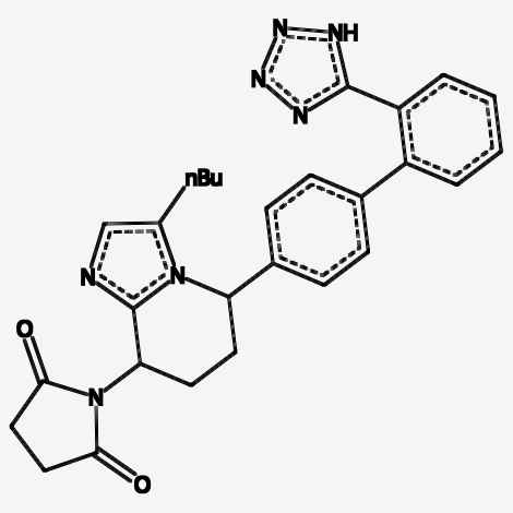 CCCCc1cnc2n1C(c1ccc(-c3ccccc3-c3nnn[nH]3)cc1)CCC2N1C(=O)CCC1=O